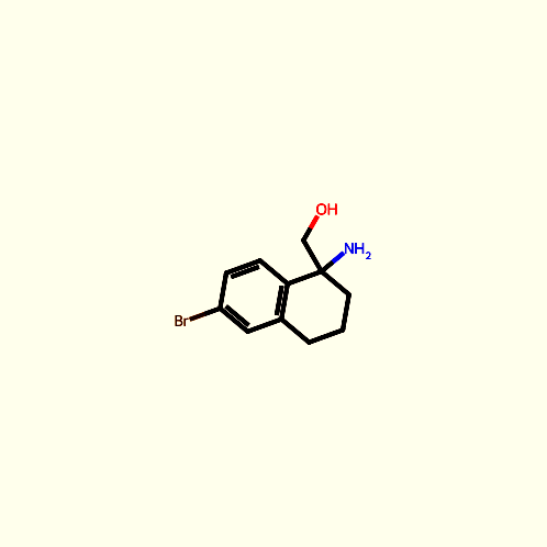 NC1(CO)CCCc2cc(Br)ccc21